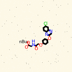 CCCCOC(=O)CNC(=O)COc1ccc(Oc2cnc3cc(Cl)ccc3n2)cc1